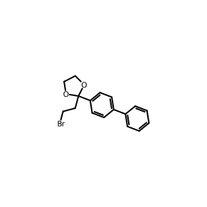 BrCCC1(c2ccc(-c3ccccc3)cc2)OCCO1